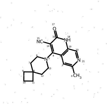 Cc1cc2c(N3CCC4(CCC4)CC3)c(C#N)c(=O)[nH]c2cn1